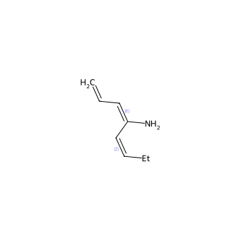 C=C/C=C(N)\C=C/CC